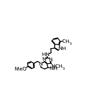 COc1ccc(CN2CCC3NN(C)c4nc(NCCc5c[nH]c6c(C)cccc56)nc2c43)cc1